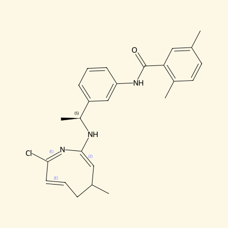 Cc1ccc(C)c(C(=O)Nc2cccc([C@H](C)NC3=C/C(C)C/C=C/C(Cl)=N\3)c2)c1